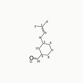 CC(C)=CCC1CCCC(C=O)C1